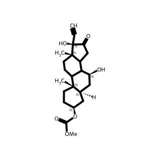 C#C[C@]1(O)C(=O)CC2C3C(CC[C@@]21C)[C@@]1(C)CC[C@H](OC(=O)OC)C[C@@H]1C[C@@H]3O